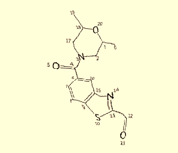 CC1CN(C(=O)c2ccc3sc(C=O)nc3c2)CC(C)O1